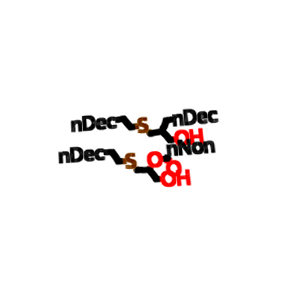 CCCCCCCCCCCCSCC(CO)CCCCCCCCCCC.CCCCCCCCCCCCSCC(CO)OC(=O)CCCCCCCCC